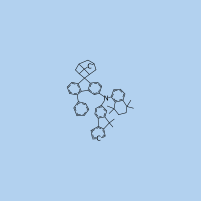 CC1(C)CCC(C)(C)c2c(N(c3ccc4c(c3)-c3c(-c5ccccc5)cccc3C43C4CC5CC6CC3C64C5)c3ccc4c(c3)C(C)(C)c3ccccc3-4)cccc21